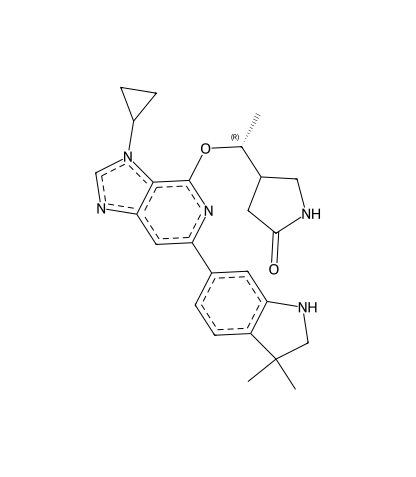 C[C@@H](Oc1nc(-c2ccc3c(c2)NCC3(C)C)cc2ncn(C3CC3)c12)C1CNC(=O)C1